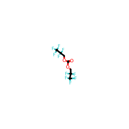 O=C(OCC(F)(F)C(F)(F)F)OCC(F)(F)C(F)(F)F